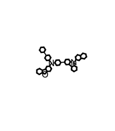 c1ccc(-c2ccc(N(c3ccc(-c4ccc5c(c4)c4ccccc4n5-c4ccc5ccccc5c4)cc3)c3ccc4oc5ccccc5c4c3)cc2)cc1